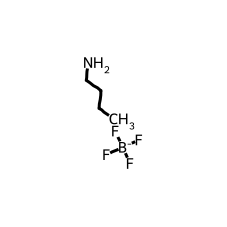 CCCCN.F[B-](F)(F)F